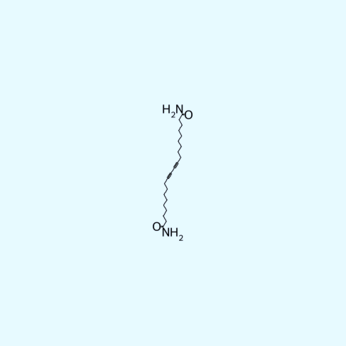 NC(=O)CCCCCCCCC#CC#CCCCCCCCCC(N)=O